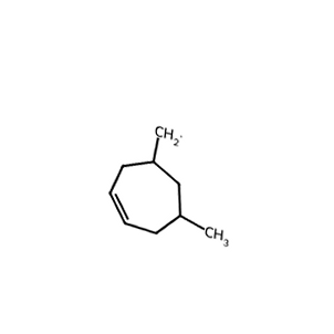 [CH2]C1CC=CCC(C)C1